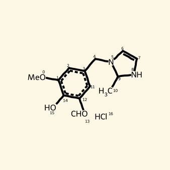 COc1cc(CN2C=CNC2C)cc(C=O)c1O.Cl